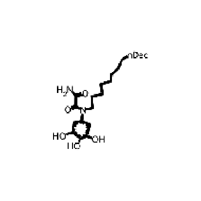 CCCCCCCCCCCCCCCCCCN(C(=O)C(N)=O)c1cc(O)c(O)c(O)c1